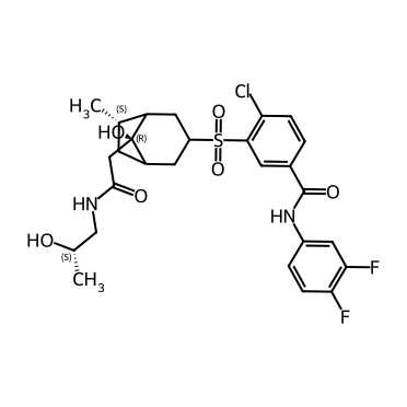 C[C@H](O)CNC(=O)C[C@@]1(O)C2CC(S(=O)(=O)c3cc(C(=O)Nc4ccc(F)c(F)c4)ccc3Cl)CC1[C@@H](C)C2